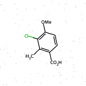 COc1ccc(C(=O)O)c(C)c1Cl